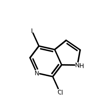 Clc1ncc(I)c2cc[nH]c12